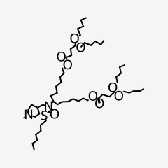 CCCCCCCSC(=O)N(CC1CCN(C)CC1)C(CCCCCCCOC(=O)CCC(OCCCCC)OCCCCC)CCCCCCCOC(=O)CCC(OCCCCC)OCCCCC